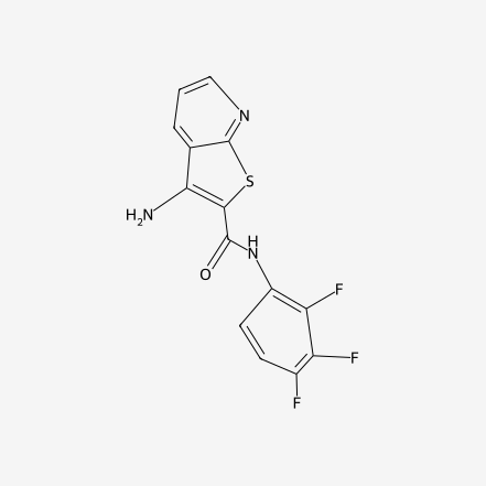 Nc1c(C(=O)Nc2ccc(F)c(F)c2F)sc2ncccc12